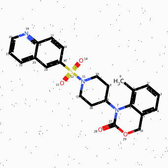 Cc1cccc2c1N(C1CCN(S(=O)(=O)c3ccc4ncccc4c3)CC1)C(=O)OC2